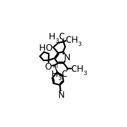 CC(C)c1nc2c(c3c1[C@@H](c1ccc(C#N)cc1)OC31CCCC1)C(O)CC(C)(C)C2